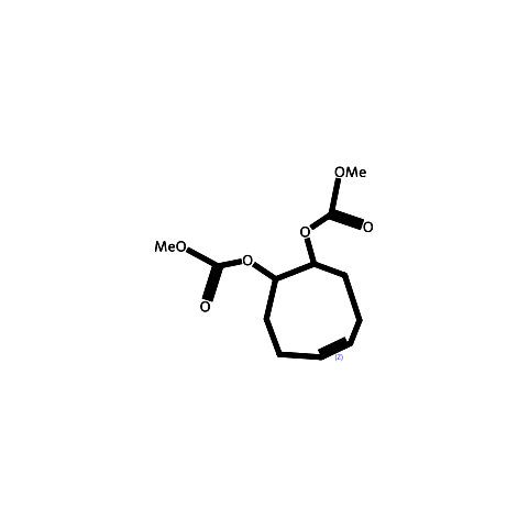 COC(=O)OC1CC/C=C\CCC1OC(=O)OC